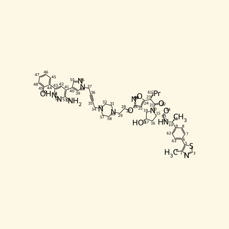 Cc1ncsc1-c1ccc([C@H](C)NC(=O)[C@@H]2C[C@@H](O)CN2C(=O)[C@@H](c2cc(OCCN3CCN(CC#CCn4cc(-c5cc(-c6ccccc6O)nnc5N)cn4)CC3)no2)C(C)C)cc1